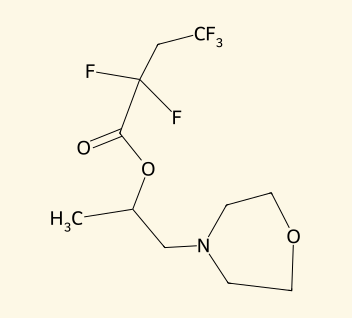 CC(CN1CCOCC1)OC(=O)C(F)(F)CC(F)(F)F